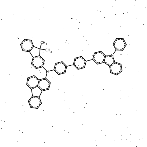 CC1(C)c2ccccc2-c2ccc(N(c3ccc(-c4ccc(-c5ccc6c(c5)c5ccccc5n6-c5ccccc5)cc4)cc3)c3ccc4c5c(cccc35)-c3ccccc3-4)cc21